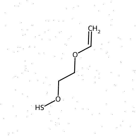 C=COCCOS